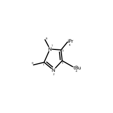 Cc1nc(C(C)(C)C)c(C(C)C)n1C